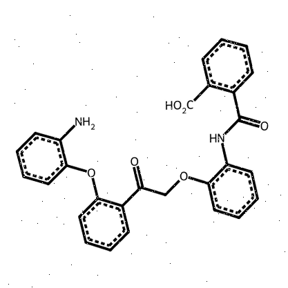 Nc1ccccc1Oc1ccccc1C(=O)COc1ccccc1NC(=O)c1ccccc1C(=O)O